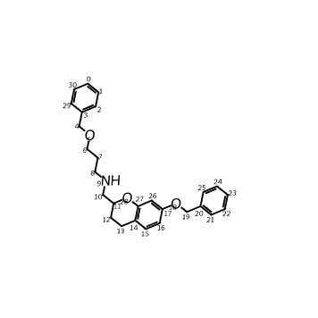 c1ccc(COCCCNCC2CCc3ccc(OCc4ccccc4)cc3O2)cc1